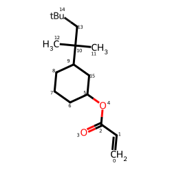 C=CC(=O)OC1CCCC(C(C)(C)CC(C)(C)C)C1